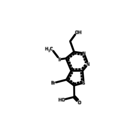 CSc1c(CO)nnc2sc(C(=O)O)c(Br)c12